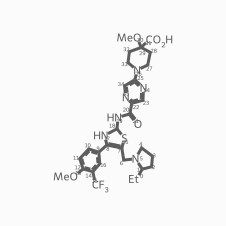 CCC1CCCN1CC1=C(c2ccc(OC)c(C(F)(F)F)c2)NC(NC(=O)c2cnc(N3CCC(OC)(C(=O)O)CC3)cn2)S1